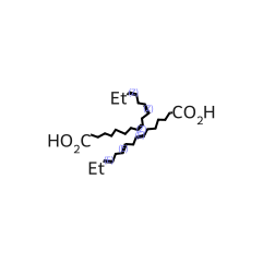 CC/C=C/C/C=C/C/C=C/CCCCCC(=O)O.CC/C=C\C/C=C\C/C=C\CCCCCCCC(=O)O